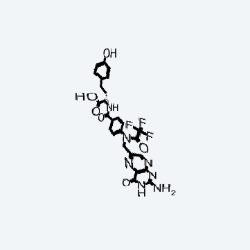 Nc1nc2ncc(CN(C(=O)C(F)(F)F)c3ccc(C(=O)N[C@@H](CCc4ccc(O)cc4)C(=O)O)cc3)nc2c(=O)[nH]1